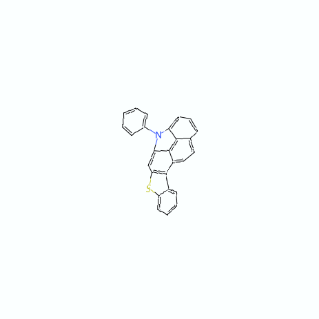 c1ccc(-n2c3cccc4ccc5c6c(cc2c5c43)sc2ccccc26)cc1